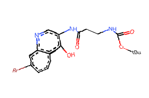 CC(C)(C)OC(=O)NCCC(=O)Nc1cnc2cc(Br)ccc2c1O